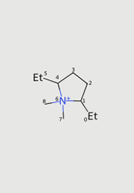 CCC1CCC(CC)[N+]1(C)C